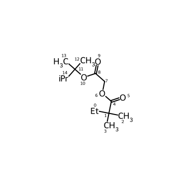 CCC(C)(C)C(=O)OCC(=O)OC(C)(C)C(C)C